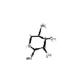 CC(C)(C)C1OCC(N)C(O)C1O